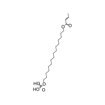 CC=CC(=O)OCCCCCCCCCCCCCCCCOP(=O)(O)O